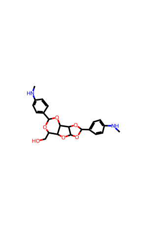 CNc1ccc(C2OC3OC4C(CO)OC(c5ccc(NC)cc5)OC4C3O2)cc1